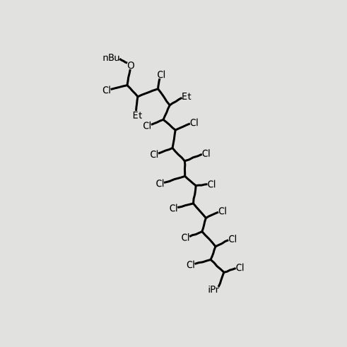 CCCCOC(Cl)C(CC)C(Cl)C(CC)C(Cl)C(Cl)C(Cl)C(Cl)C(Cl)C(Cl)C(Cl)C(Cl)C(Cl)C(Cl)C(Cl)C(Cl)C(C)C